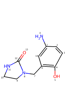 Nc1ccc(O)c(CN2CCNC2=O)c1